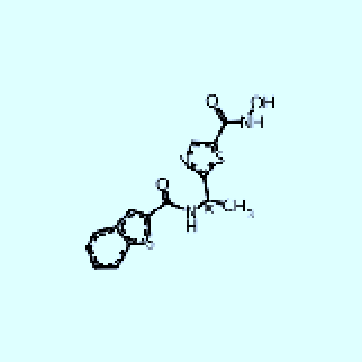 C[C@@H](NC(=O)c1cc2ccccc2s1)c1ncc(C(=O)NO)s1